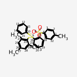 Cc1ccc(S(=O)(=O)OS(c2ccccc2)(c2ccccc2)c2c(C)cc(C)cc2C)cc1